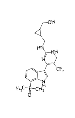 CP(C)(=O)c1cccc2c(C3=C(C(F)(F)F)CNC(NCC4CC4CO)=N3)c[nH]c12